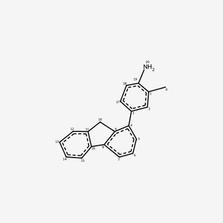 Cc1cc(-c2cccc3c2Cc2ccccc2-3)ccc1N